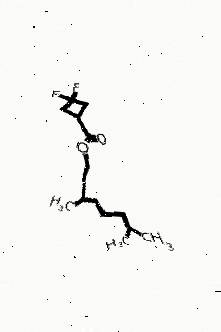 CC(C)=CCCC(C)CCOC(=O)C1CC(F)(F)C1